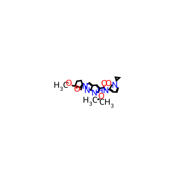 COCC12CCC(n3cc4cc(C(=O)Nc5cccn(C6CC6)c5=O)c(OC(C)C)nc4n3)(CO1)C2